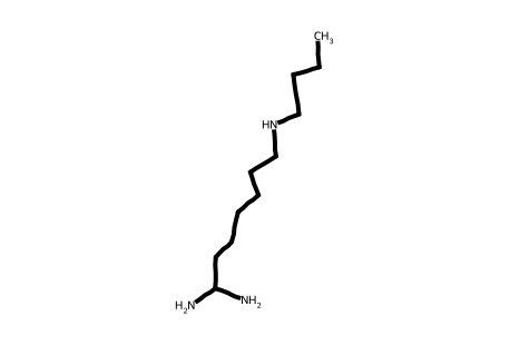 CCCCNCCCCCCC(N)N